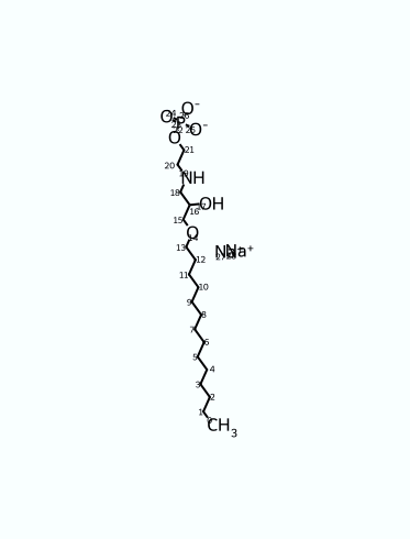 CCCCCCCCCCCCCCOCC(O)CNCCOP(=O)([O-])[O-].[Na+].[Na+]